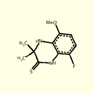 COc1ccc(F)c2c1NC(C)(C)C(=S)N2